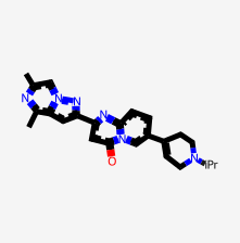 Cc1cn2nc(-c3cc(=O)n4cc(C5=CCN(C(C)C)CC5)ccc4n3)cc2c(C)n1